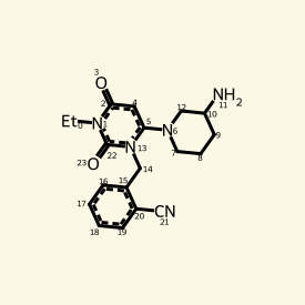 CCn1c(=O)cc(N2CCCC(N)C2)n(Cc2ccccc2C#N)c1=O